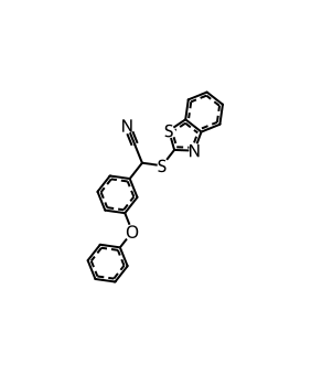 N#CC(Sc1nc2ccccc2s1)c1cccc(Oc2ccccc2)c1